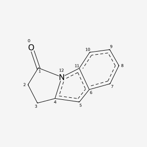 O=C1CCc2cc3ccccc3n21